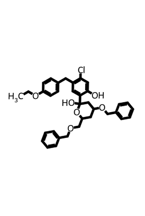 CCOc1ccc(Cc2cc(C3(O)CC(OCc4ccccc4)CC(COCc4ccccc4)O3)c(O)cc2Cl)cc1